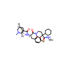 CN1C[C@@H]2CC[C@H]1C(C(=O)N[C@H](Cc1ccc(F)cc1)C(=O)N1CCC(C(=O)NC(C)(C)C)(C3CCCCC3)CC1)C2